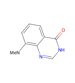 CNc1cccc2c(=O)[nH]cnc12